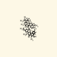 CC[C@H](C)[C@@H]([C@@H](CC(=O)N1C[C@H](OC)CC1[C@H](OC)[C@@H](C)C(=O)N[C@H](C)C(=N)c1ccc(F)cc1)OC)N(C)C(=O)[C@@H](NC(=O)[C@H](C(C)C)N(C)C)C(C)C